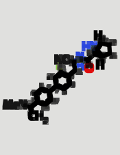 C=C(NC)c1ccc(-c2ccc(C[C@@H](C#N)NC(=O)[C@H]3N[C@@H]4CC[C@H]3C4)c(F)c2)cc1